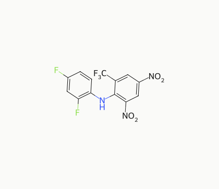 O=[N+]([O-])c1cc([N+](=O)[O-])c(Nc2ccc(F)cc2F)c(C(F)(F)F)c1